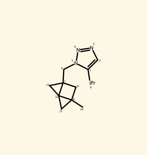 CC(C)c1cnnn1CC12CC3(C)CC31C2